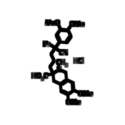 COc1ccc(C(C#N)(CCCC2(C(=O)O)Cc3cc(OC)c(OC)cc3CN2C)C(C)C)cc1OC.Cl